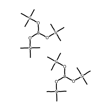 C[Si](C)(C)OB(O[Si](C)(C)C)O[Si](C)(C)C.C[Si](C)(C)OB(O[Si](C)(C)C)O[Si](C)(C)C